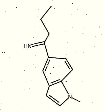 CCCC(=N)c1ccc2c(ccn2C)c1